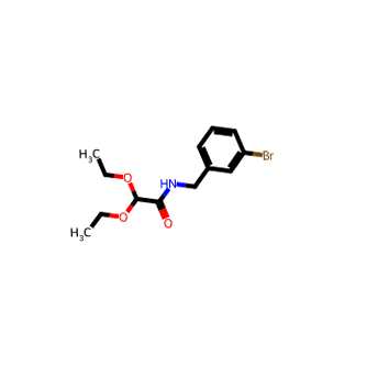 CCOC(OCC)C(=O)NCc1cccc(Br)c1